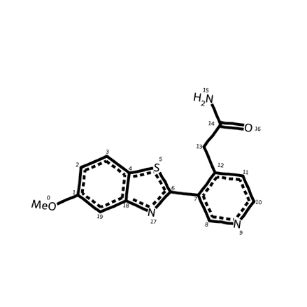 COc1ccc2sc(-c3cnccc3CC(N)=O)nc2c1